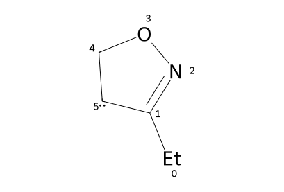 CCC1=NOC[C]1